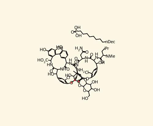 CCCCCCCCCCCCCCCCCCP(=O)(O)O.CNC(CC(C)C)C(=O)NC1C(=O)NC(CC(N)=O)C(=O)NC2C(=O)NC3C(=O)NC(C(=O)NC(C(=O)O)c4cc(O)cc(O)c4-c4cc3ccc4O)C(O)c3ccc(c(Cl)c3)Oc3cc2cc(c3OC2OC(CO)C(O)C(O)C2OC2CC(C)(N)C(O)C(C)O2)Oc2ccc(cc2Cl)C1O